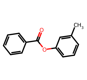 Cc1cccc(OC(=O)c2ccccc2)c1